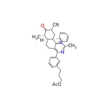 CC(=O)OCCCc1cccc(-c2nc(C)nc3c2CC[C@H]2[C@H](C)C(=O)C(C#N)C[C@@]32c2ccccc2)c1